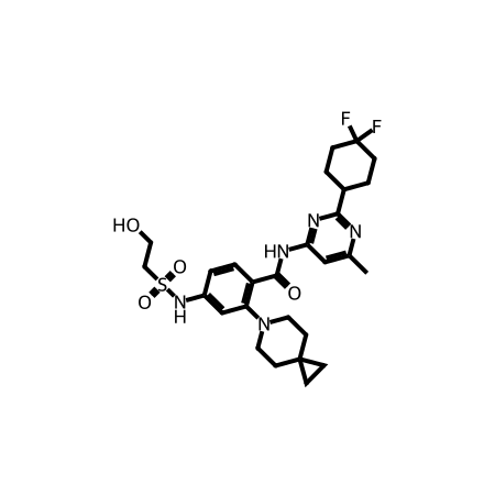 Cc1cc(NC(=O)c2ccc(NS(=O)(=O)CCO)cc2N2CCC3(CC2)CC3)nc(C2CCC(F)(F)CC2)n1